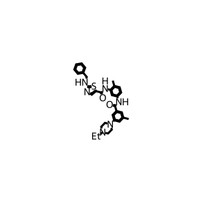 CCN1CCN(c2cc(C)cc(C(=O)Nc3ccc(C)c(NC(=O)c4cnc(NCc5ccccc5)s4)c3)c2)CC1